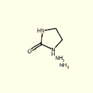 N.N.O=C1NCCN1